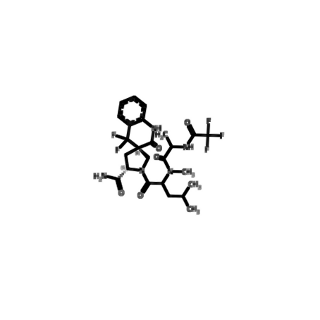 CC(C)CC(C(=O)N1C[C@]2(C[C@H]1C(N)=O)C(=O)Nc1ccccc1C2(F)F)N(C)C(=O)C(C)NC(=O)C(F)(F)F